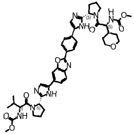 COC(=O)N[C@H](C(=O)N1CCC[C@H]1c1ncc(-c2ccc3nc(-c4ccc(-c5cnc([C@@H]6CCCN6C(=O)[C@@H](NC(=O)OC)C6CCOCC6)[nH]5)cc4)oc3c2)[nH]1)C(C)C